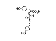 O=C(NO[C@H](Cc1ccc(O)cc1)C(=O)O)OCCc1ccc(O)cc1